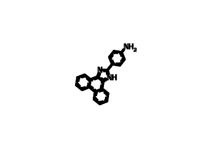 Nc1ccc(-c2nc3c4ccccc4c4ccccc4c3[nH]2)cc1